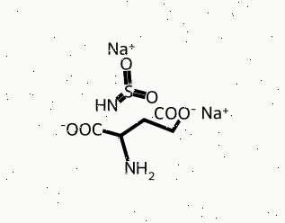 N=S(=O)=O.NC(CCC(=O)[O-])C(=O)[O-].[Na+].[Na+]